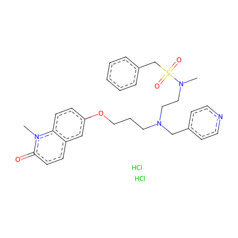 CN(CCN(CCCOc1ccc2c(ccc(=O)n2C)c1)Cc1ccncc1)S(=O)(=O)Cc1ccccc1.Cl.Cl